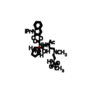 CC(=O)N(CCN(C)CCNS(C)(=O)=O)CC(O)CN1[C@@H]2CC[C@H]1C[C@H](NC(=O)Oc1cc3ccccc3n(C(C)C)c1=O)C2